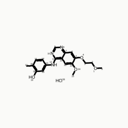 COCCOc1cc2ncnc(Nc3ccc(C)c(O)c3)c2cc1OC.Cl